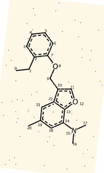 CCc1ccccc1OCc1coc2c(N(C)C)cc(C)cc12